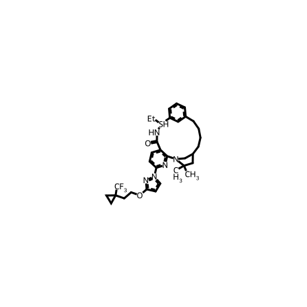 CC[SH]1NC(=O)c2ccc(-n3ccc(OCCC4(C(F)(F)F)CC4)n3)nc2N2CC(CCCCc3cccc1c3)CC2(C)C